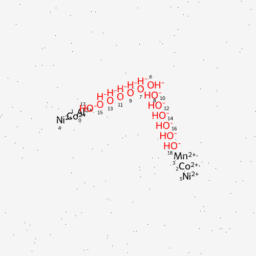 [Al+3].[Co+2].[Co+2].[Mn+2].[Ni+2].[Ni+2].[OH-].[OH-].[OH-].[OH-].[OH-].[OH-].[OH-].[OH-].[OH-].[OH-].[OH-].[OH-].[OH-]